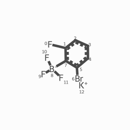 Fc1cccc(Br)c1[B-](F)(F)F.[K+]